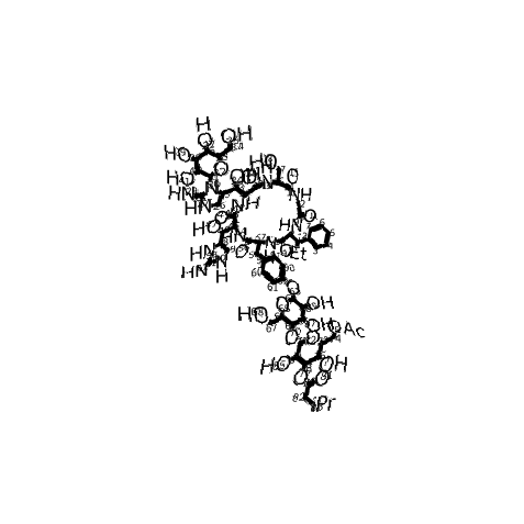 CCC(c1ccccc1)C1NC(=O)CNC(=O)C(CO)NC(=O)C(C(O)C2CNC(=N)N2C2OC(CO)C(O)C(O)C2O)NC(=O)C(C(O)C2CNC(=N)N2)NC(=O)C(Cc2ccc(OC3OC(CO)C(OC4OC(COC(C)=O)C(O)C(OC(=O)CC(C)C)C4O)C(O)C3O)cc2)NC1=O